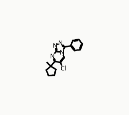 CC1(c2nc3nnc(-c4ccccc4)n3cc2Cl)CCCC1